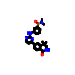 CN(C)[S+]([O-])c1cccc(Nc2nccc(-c3ccc4c(c3)C(C)(C)CNC4=O)n2)c1